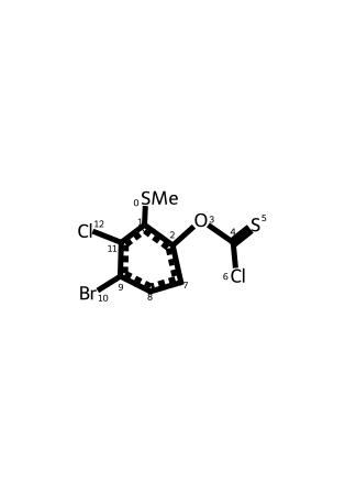 CSc1c(OC(=S)Cl)ccc(Br)c1Cl